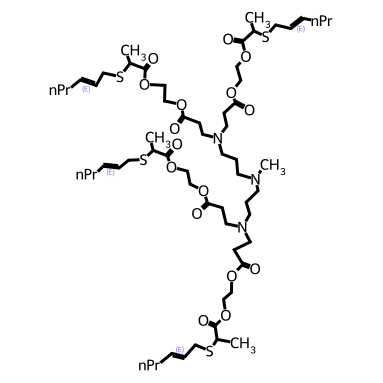 CCC/C=C/CSC(C)C(=O)OCCOC(=O)CCN(CCCN(C)CCCN(CCC(=O)OCCOC(=O)C(C)SC/C=C/CCC)CCC(=O)OCCOC(=O)C(C)SC/C=C/CCC)CCC(=O)OCCOC(=O)C(C)SC/C=C/CCC